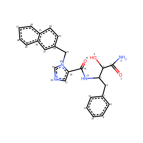 NC(=O)C(O)C(Cc1ccccc1)NC(=O)c1cncn1Cc1ccc2ccccc2c1